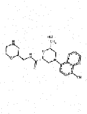 C[C@@H]1CN(c2ccc(C#N)c3ncccc23)C[C@H](C(=O)NC[C@@H]2CNCCO2)O1.Cl